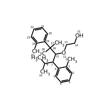 Cc1ccccc1C(C(C)C)C(OCCO)C(C)(C)c1ccccc1C